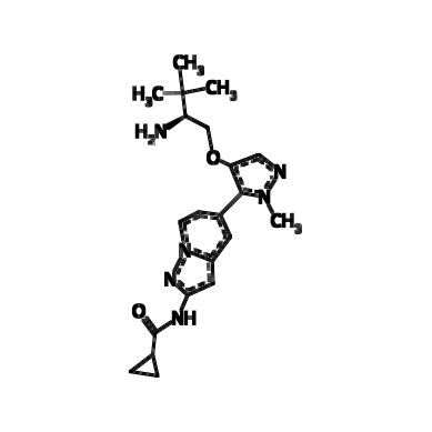 Cn1ncc(OC[C@@H](N)C(C)(C)C)c1-c1ccn2nc(NC(=O)C3CC3)cc2c1